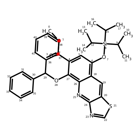 COC(=O)c1cc(O[Si](C(C)C)(C(C)C)C(C)C)c2cc3scnc3nc2c1OC(c1ccccc1)c1ccccc1